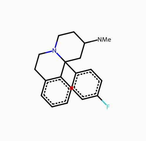 CNC1CCN2CCc3ccccc3C2(c2ccc(F)cc2)C1